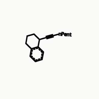 CCCCCC#CC1CCCc2ccccc21